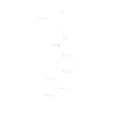 CCc1cccc(-c2cccc(C(=O)N[C@H](CN(C)C)CC(C)(C)C)c2)c1OC